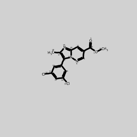 COC(=O)c1cnn2c(-c3cc(Cl)cc(Cl)c3)c(C)nc2c1